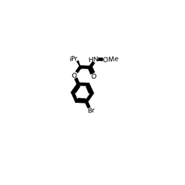 CONC(=O)[C@@H](Oc1ccc(Br)cc1)C(C)C